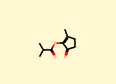 CC1=C(OC(=O)C(C)C)C(=O)CC1